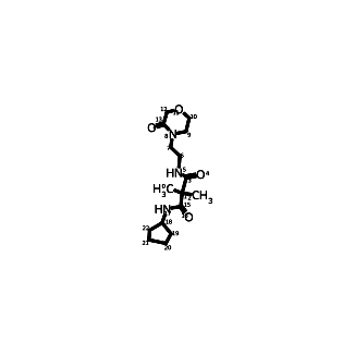 CC(C)(C(=O)NCCN1CCOCC1=O)C(=O)NC1CCCC1